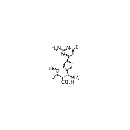 CC(C)(C)OC(=O)C(C(=O)O)C(N)c1ccc(-c2cc(Cl)nc(N)n2)cc1